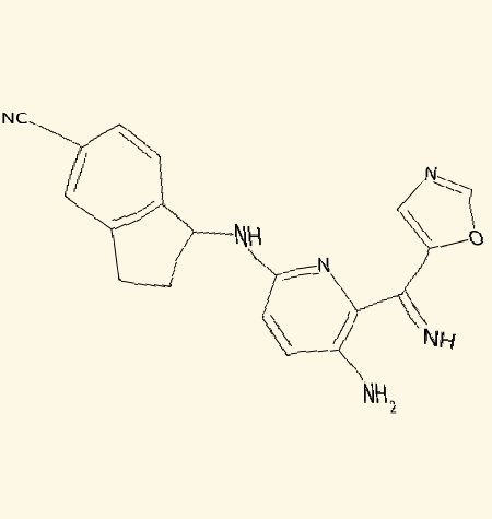 N#Cc1ccc2c(c1)CCC2Nc1ccc(N)c(C(=N)c2cnco2)n1